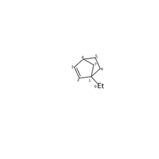 CCC12C=CC([CH]C1)C2